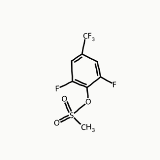 CS(=O)(=O)Oc1c(F)cc(C(F)(F)F)cc1F